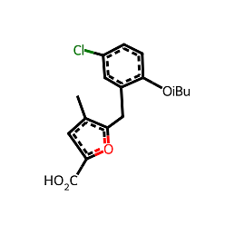 Cc1cc(C(=O)O)oc1Cc1cc(Cl)ccc1OCC(C)C